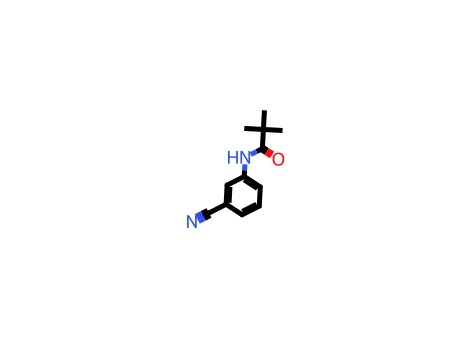 CC(C)(C)C(=O)Nc1cccc(C#N)c1